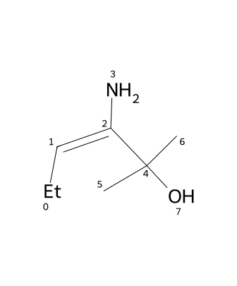 CC/C=C(/N)C(C)(C)O